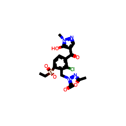 CCS(=O)(=O)c1ccc(C(=O)c2cnn(C)c2O)c(Cl)c1Cn1nc(C)oc1=O